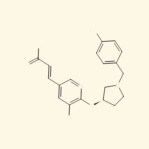 Cc1ccc(CN2CC[C@@H](Nc3ncc(C=CC(=O)O)cc3Cl)C2)cc1